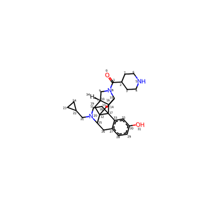 O=C(C1CCNCC1)N1C[C@H]2CC34CCC1C2C31CCN(CC2CC2)C4Cc2ccc(O)cc21